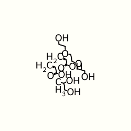 C=CC(=O)O.C=CC(=O)O.CC(O)CO.OCCOCCOCCO